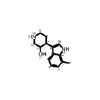 Cc1cccc2c(C3CCNCC3O)c[nH]c12